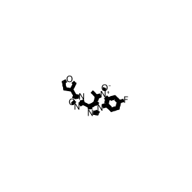 Cc1c2c(-c3noc(C4CCOC4)n3)ncn2c2ccc(F)cc2[n+]1[O-]